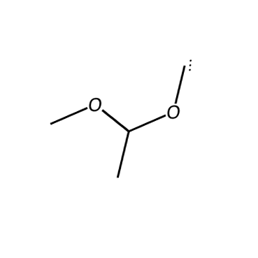 [C]OC(C)OC